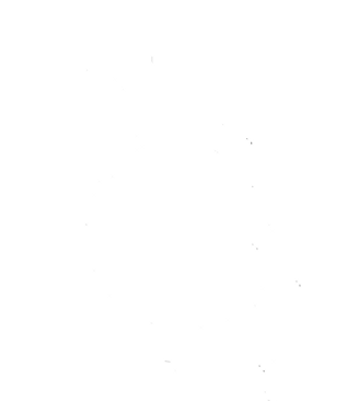 Cc1cc2nc3sc2c(c1C(OC(C)(C)C)C(=O)O)-c1ccc2c(c1)C(CCCCC(C)CC1CN(C(C)C)CCN1c1nccc-3n1)CCO2